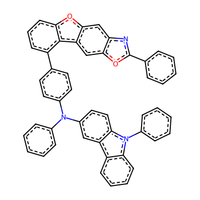 c1ccc(-c2nc3cc4oc5cccc(-c6ccc(N(c7ccccc7)c7ccc8c(c7)c7ccccc7n8-c7ccccc7)cc6)c5c4cc3o2)cc1